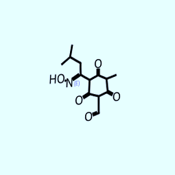 CC(C)C/C(=N\O)C1C(=O)C(C)C(=O)C(C=O)C1=O